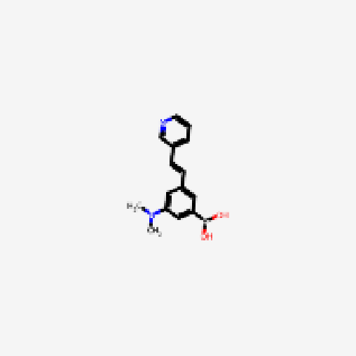 CN(C)c1cc(/C=C/c2cccnc2)cc(B(O)O)c1